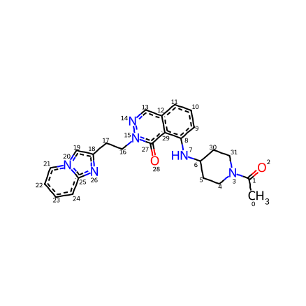 CC(=O)N1CCC(Nc2cccc3cnn(CCc4cn5ccccc5n4)c(=O)c23)CC1